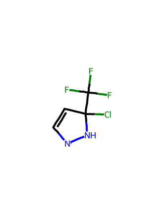 FC(F)(F)C1(Cl)C=C[N]N1